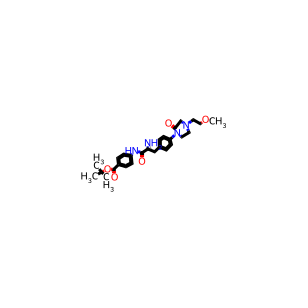 COCCN1CCN(c2ccc(C[C@H](N)C(=O)Nc3ccc(C(=O)OC(C)(C)C)cc3)cc2)C(=O)C1